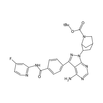 CC(C)(C)OC(=O)N1CC2CC1C(n1nc(-c3ccc(C(=O)Nc4cc(F)ccn4)cc3)c3c(N)ncnc31)C2